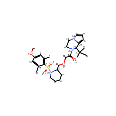 COc1cc(C)c(S(=O)(=O)N2CCCCC2COCC(=O)N2CCn3cccc3C2C(C)(C)C)c(C)c1